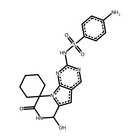 Nc1ccc(S(=O)(=O)Nc2ncc3cc4n(c3n2)C2(CCCCC2)C(=O)NC4O)cc1